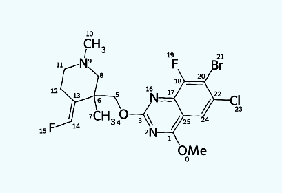 COc1nc(OCC2(C)CN(C)CCC2=CF)nc2c(F)c(Br)c(Cl)cc12